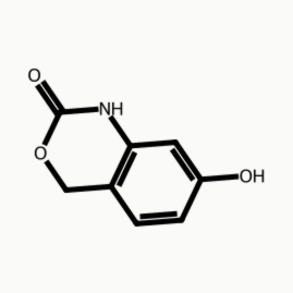 O=C1Nc2cc(O)ccc2CO1